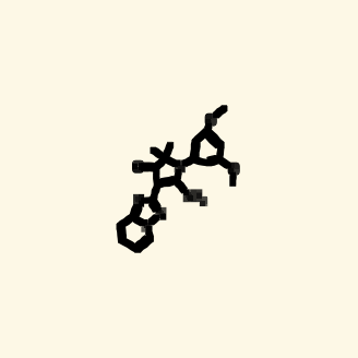 COc1cc(OC)cc(N2C(N)=C(c3nc4ccccn4n3)C(=O)C2(C)C)c1